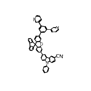 N#Cc1ccc2c(c1)c1cc(-c3ccc4c(c3)Oc3cc(-c5cc(-c6cccnc6)cc(-c6cccnc6)c5)ccc3C43c4ccccc4-c4ccccc43)ccc1n2-c1ccccc1